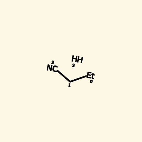 CCCC#N.[HH]